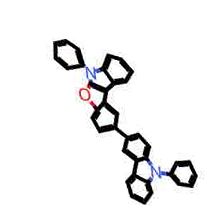 c1ccc(-n2c3ccccc3c3cc(-c4ccc5oc6c(c5c4)c4ccccc4n6-c4ccccc4)ccc32)cc1